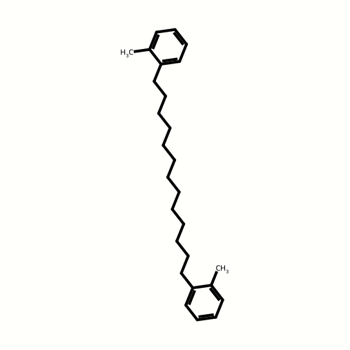 Cc1ccccc1CCCCCCCCCCCCCc1ccccc1C